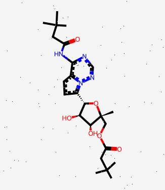 CC(C)(C)CC(=O)Nc1ncnn2c([C@@H]3O[C@](C)(COC(=O)CC(C)(C)C)[C@@H](O)[C@H]3O)ccc12